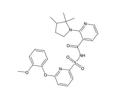 COc1ccccc1Oc1cccc(S(=O)(=O)NC(=O)c2cccnc2N2CCC(C)C2(C)C)n1